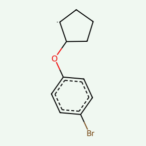 Brc1ccc(OC2[CH]CCC2)cc1